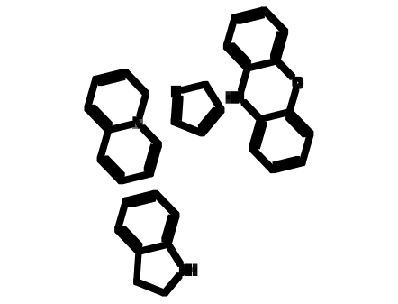 C1=CCN2C=CC=CC2=C1.C1=CCN=C1.c1ccc2c(c1)CCN2.c1ccc2c(c1)Nc1ccccc1O2